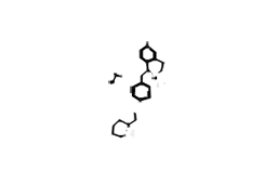 CC(C)N1CCc2cc(O)ccc2C1Cc1ccc(OCCC2CCCCN2)cc1.O=C(O)C(F)(F)F